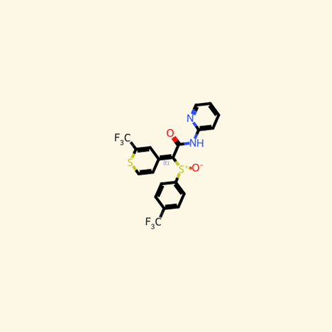 O=C(Nc1ccccn1)/C(=C1/C=CSC(C(F)(F)F)=C1)[S+]([O-])c1ccc(C(F)(F)F)cc1